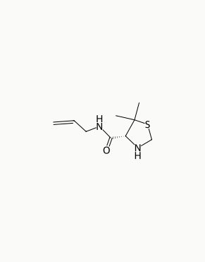 C=CCNC(=O)[C@H]1NCSC1(C)C